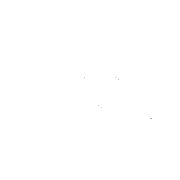 CC(C)(C)OC(=O)NC(C)(C)c1ncc(Br)cn1